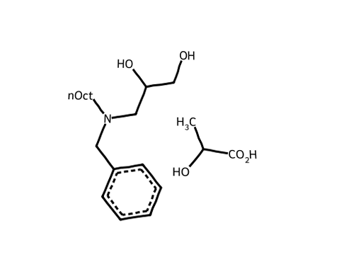 CC(O)C(=O)O.CCCCCCCCN(Cc1ccccc1)CC(O)CO